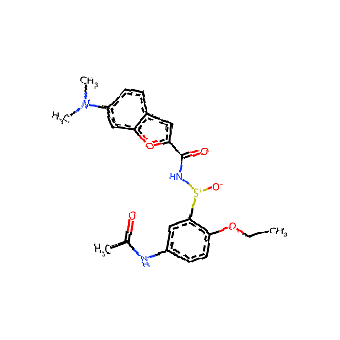 CCOc1ccc(NC(C)=O)cc1[S+]([O-])NC(=O)c1cc2ccc(N(C)C)cc2o1